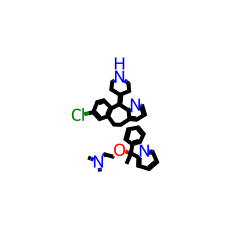 CN(C)CCOC(C)(c1ccccc1)c1ccccn1.Clc1ccc2c(c1)CCc1cccnc1C2=C1CCNCC1